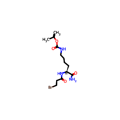 C=C(C)OC(=O)NCCCC[C@H](NC(=O)CCBr)C(N)=O